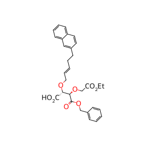 CCOC(=O)CO[C@@H](C(=O)OCc1ccccc1)[C@@H](OC/C=C/CCc1ccc2ccccc2c1)C(=O)O